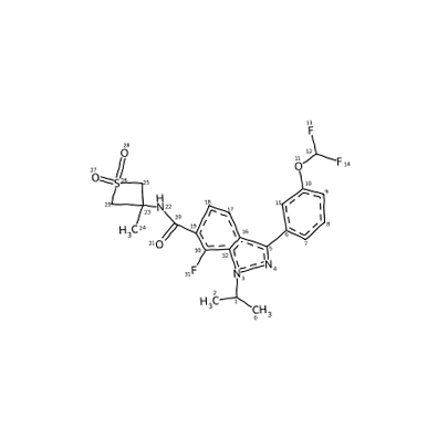 CC(C)n1nc(-c2cccc(OC(F)F)c2)c2ccc(C(=O)NC3(C)CS(=O)(=O)C3)c(F)c21